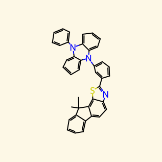 CC1(C)c2ccccc2-c2ccc3nc(-c4cccc(N5c6ccccc6N(c6ccccc6)c6ccccc65)c4)sc3c21